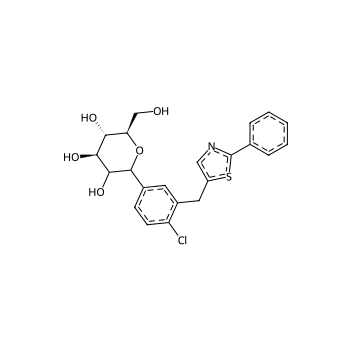 OC[C@H]1OC(c2ccc(Cl)c(Cc3cnc(-c4ccccc4)s3)c2)C(O)[C@@H](O)[C@@H]1O